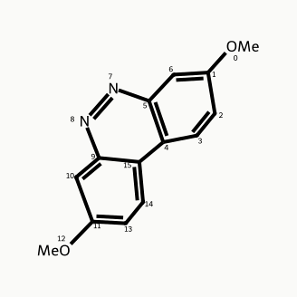 COc1ccc2c(c1)nnc1cc(OC)ccc12